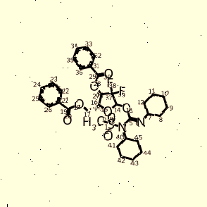 CS(=O)(=O)N(C(=NC1CCCCC1)OC1O[C@H](COC(=O)c2ccccc2)[C@@H](OC(=O)c2ccccc2)C1(F)F)C1CCCCC1